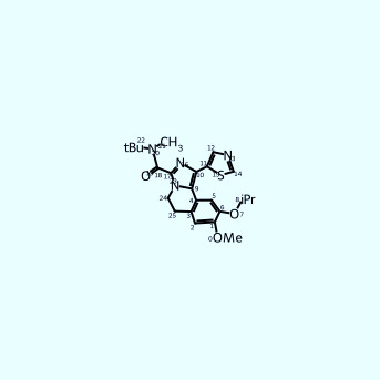 COc1cc2c(cc1OC(C)C)-c1c(-c3cncs3)nc(C(=O)N(C)C(C)(C)C)n1CC2